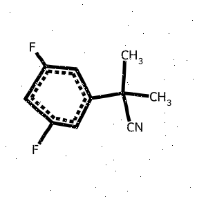 CC(C)(C#N)c1cc(F)cc(F)c1